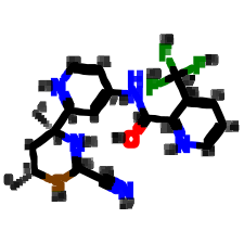 C[C@@H]1C[C@@](C)(c2cc(NC(=O)c3ncccc3C(F)(F)F)ccn2)N=C(C#N)S1